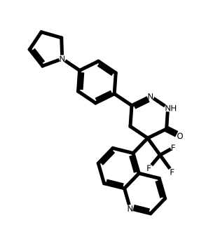 O=C1NN=C(c2ccc(N3C=CCC3)cc2)CC1(c1cccc2ncccc12)C(F)(F)F